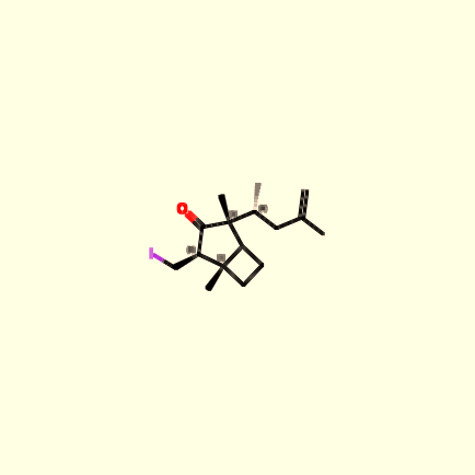 C=C(C)C[C@@H](C)[C@@]1(C)C(=O)[C@H](CI)[C@@]2(C)CCC21